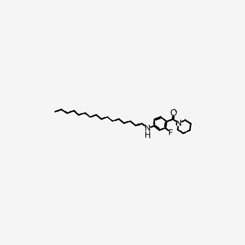 CCCCCCCCCCCCCCCCNc1ccc(C(=O)N2CCCCC2)c(F)c1